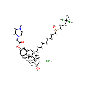 CN1CCN(CC(=O)Oc2ccc3c(c2)C[C@@H](CCCCCCCCC[S+]([O-])CCCC(F)(F)C(F)(F)F)[C@@H]2[C@@H]3CC[C@]3(C)[C@@H](O)CC[C@@H]23)CC1.Cl